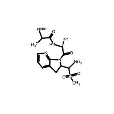 CNC(C)C(=O)N[C@H](C(=O)N1c2ncccc2CC1C(N)S(C)(=O)=O)C(C)C